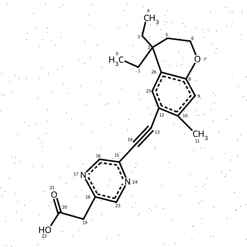 CCC1(CC)CCOc2cc(C)c(C#Cc3cnc(CC(=O)O)cn3)cc21